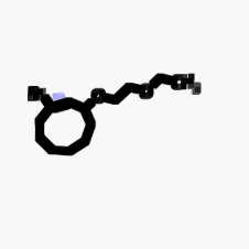 CCOCCOC1/C=C(/Br)CCCCCC1